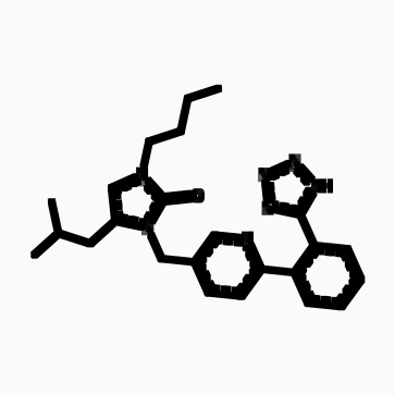 CCCCn1cc(CC(C)C)n(Cc2ccc(-c3ccccc3-c3nnn[nH]3)nc2)c1=O